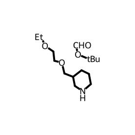 CC(C)(C)OC=O.CCOCCOCC1CCCNC1